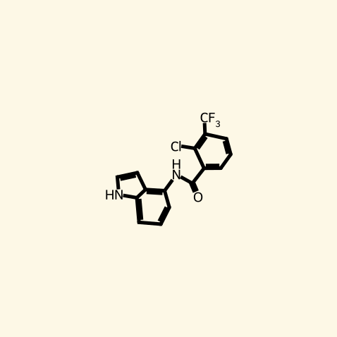 O=C(Nc1cccc2[nH]ccc12)c1cccc(C(F)(F)F)c1Cl